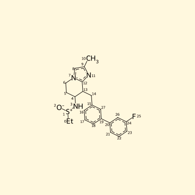 CC[S+]([O-])NC1CCn2cc(C)nc2C1Cc1cccc(-c2cccc(F)c2)c1